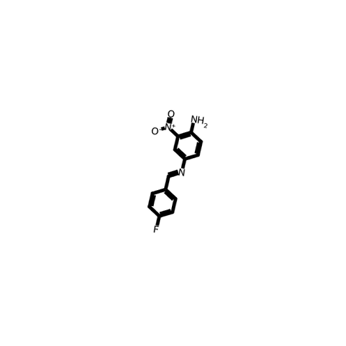 Nc1ccc(N=Cc2ccc(F)cc2)cc1[N+](=O)[O-]